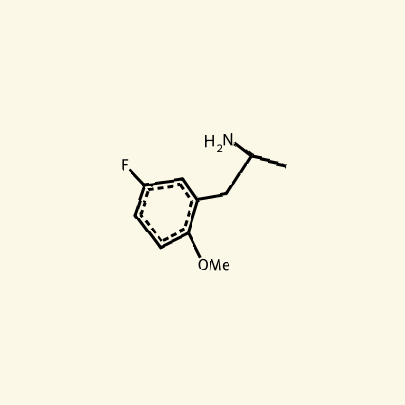 COc1ccc(F)cc1CC(C)N